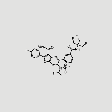 CNC(=O)c1c(-c2ccc(F)cc2)oc2cc(N(C(F)F)S(C)(=O)=O)c(-c3cccc(C(=O)NC(CF)(CF)CF)c3)cc12